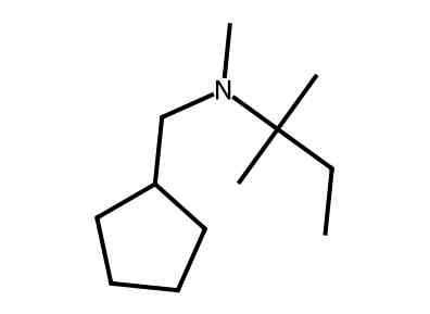 CCC(C)(C)N(C)CC1CCCC1